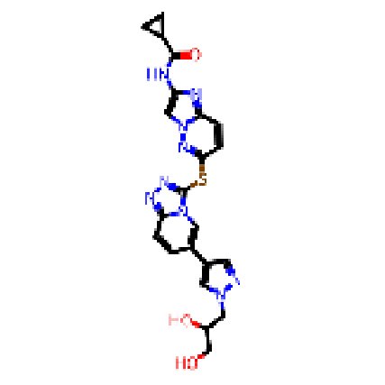 O=C(Nc1cn2nc(Sc3nnc4ccc(-c5cnn(CC(O)CO)c5)cn34)ccc2n1)C1CC1